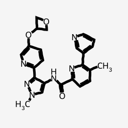 Cc1ccc(C(=O)Nc2cn(C)nc2-c2ccc(OC3COC3)cn2)nc1-c1cccnc1